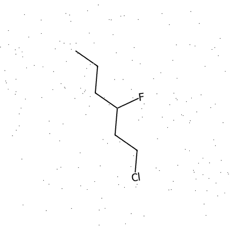 CCCC(F)CCCl